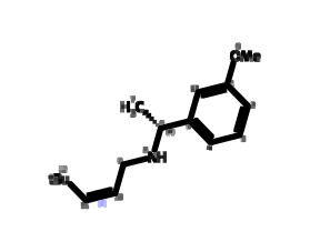 COc1cccc([C@@H](C)NC/C=C\C(C)(C)C)c1